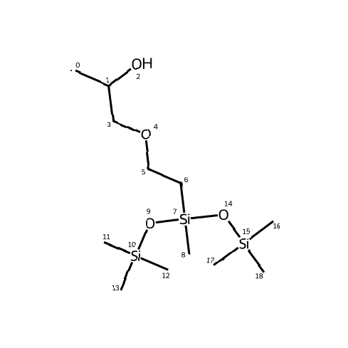 [CH2]C(O)COCC[Si](C)(O[Si](C)(C)C)O[Si](C)(C)C